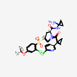 C[C@H](Oc1ccc(S(=O)(=O)[C@@H]2C[C@@H](C(=O)NC3(N)CC3)N(C(=O)C3(c4ccc(Cl)nc4)CC3)C2)c(Cl)c1)C(F)(F)F